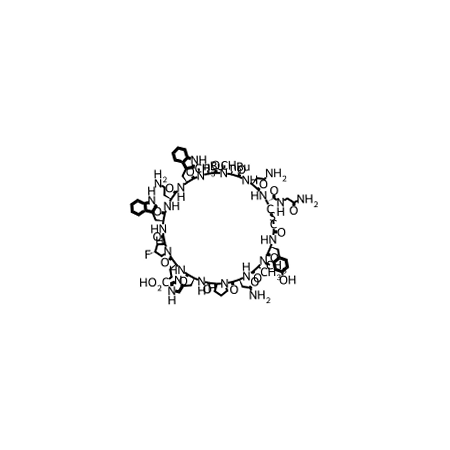 CCCC[C@H]1C(=O)N(C)[C@@H](CCCC)C(=O)N[C@@H](CCN)C(=O)N[C@H](C(=O)NCC(N)=O)CSCC(=O)N[C@@H](Cc2ccc(O)cc2)C(=O)N(C)[C@@H](C)C(=O)N[C@@H](CC(N)=O)C(=O)N2CCC[C@H]2C(=O)N[C@@H](Cc2c[nH]cn2)C(=O)N[C@@H](CCC(=O)O)C(=O)N2C[C@H](F)C[C@H]2C(=O)N[C@@H](Cc2c[nH]c3ccccc23)C(=O)N[C@@H](CCN)C(=O)N[C@@H](Cc2c[nH]c3ccccc23)C(=O)N1C